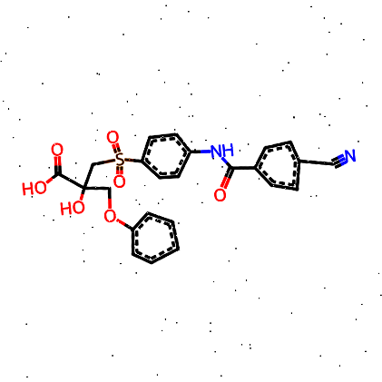 N#Cc1ccc(C(=O)Nc2ccc(S(=O)(=O)CC(O)(COc3ccccc3)C(=O)O)cc2)cc1